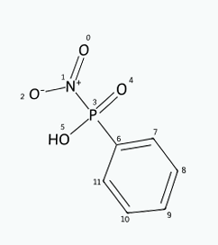 O=[N+]([O-])P(=O)(O)c1ccccc1